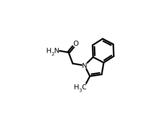 Cc1cc2ccccc2n1CC(N)=O